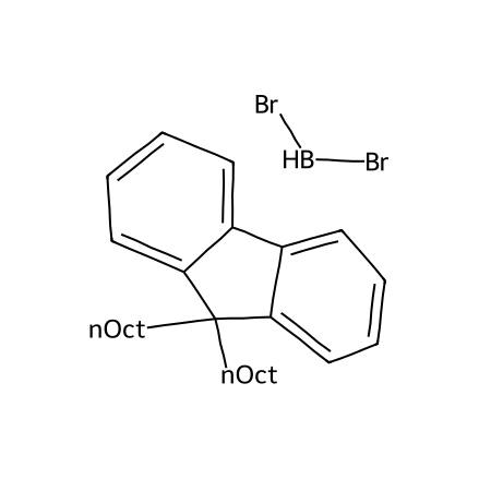 BrBBr.CCCCCCCCC1(CCCCCCCC)c2ccccc2-c2ccccc21